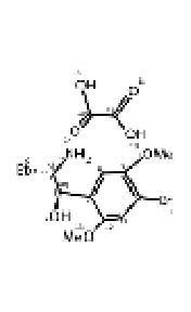 CC[C@H](N)[C@H](O)c1cc(OC)c(Br)cc1OC.O=C(O)C(=O)O